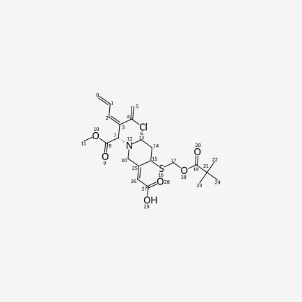 C=C/C=C(\C(=C)Cl)[C@@H](C(=O)OC)N1CCC(SCOC(=O)C(C)(C)C)/C(=C\C(=O)O)C1